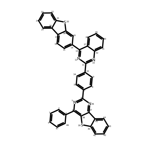 c1ccc(-c2nc(-c3ccc(-c4nc(-c5ccc6c(c5)sc5ccccc56)c5ccccc5n4)cc3)nc3c2sc2ccccc23)cc1